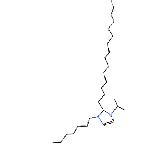 CCCCCCCCCCCCCCCC1N(CCCCCCC)C=CN1C(C)C